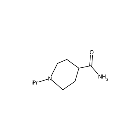 CC(C)N1CCC(C(N)=O)CC1